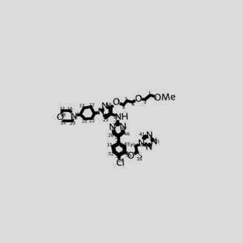 COCCOCCCOc1nn(C2CCC(N3CCOCC3)CC2)cc1Nc1ncc(-c2ccc(Cl)c(O[C@@H](C)Cn3cnnn3)c2)cn1